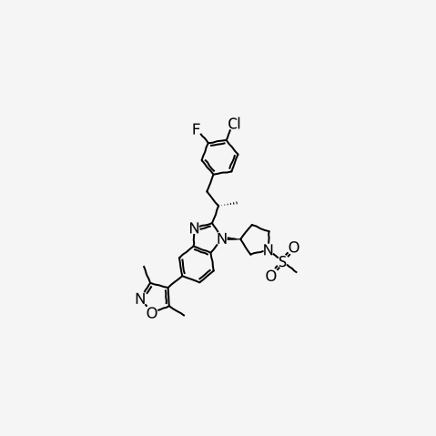 Cc1noc(C)c1-c1ccc2c(c1)nc([C@@H](C)Cc1ccc(Cl)c(F)c1)n2[C@H]1CCN(S(C)(=O)=O)C1